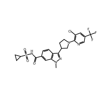 Cn1nc(C2CCN(c3ncc(C(F)(F)F)cc3Cl)C2)c2ccc(C(=O)NS(=O)(=O)C3CC3)cc21